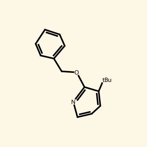 CC(C)(C)c1cccnc1OCc1ccccc1